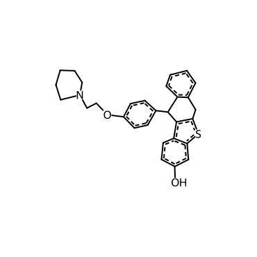 Oc1ccc2c3c(sc2c1)Cc1ccccc1C3c1ccc(OCCN2CCCCC2)cc1